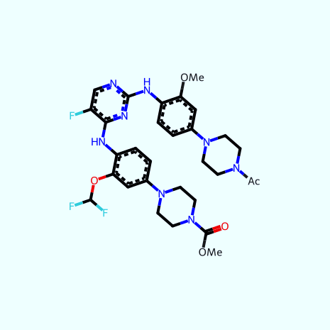 COC(=O)N1CCN(c2ccc(Nc3nc(Nc4ccc(N5CCN(C(C)=O)CC5)cc4OC)ncc3F)c(OC(F)F)c2)CC1